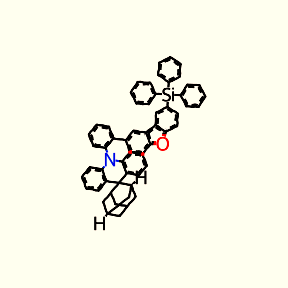 c1ccc([Si](c2ccccc2)(c2ccccc2)c2ccc3oc4ccc(-c5ccccc5N5c6ccccc6C6(c7ccccc75)C5CC7C[C@H](C5)C[C@H]6C7)cc4c3c2)cc1